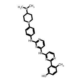 Cc1ccc(O)cc1-c1nccc(Nc2ccnc(Nc3ccc(N4CCC(N(C)C)CC4)cc3)n2)n1